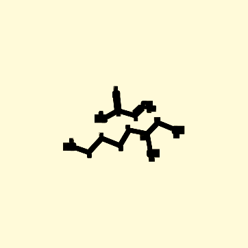 C=CC(=O)O.OCCCCC(O)CO